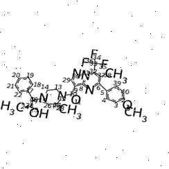 COc1ccc(-c2nc3c(C(=O)N4CCN([C@H](c5ccccc5)C(C)O)C[C@H]4C)cnn3c(C(F)(F)F)c2C)cc1